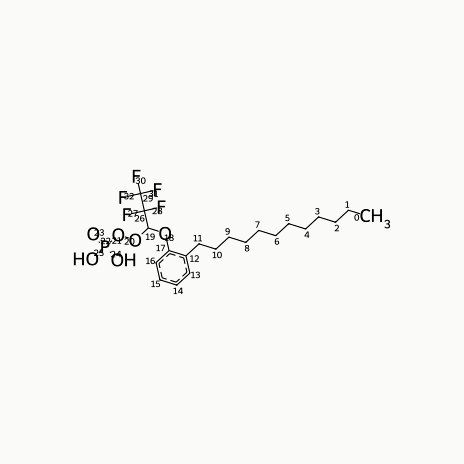 CCCCCCCCCCCCc1ccccc1OC(OOP(=O)(O)O)C(F)(F)C(F)(F)F